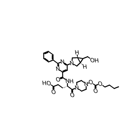 CCCCOC(=O)ON1CCN(C(=O)[C@H](CCC(=O)O)NC(=O)c2cc(N3C[C@@H]4C(CO)[C@H]4C3)nc(-c3ccccc3)n2)CC1